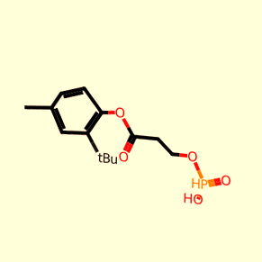 Cc1ccc(OC(=O)CCO[PH](=O)O)c(C(C)(C)C)c1